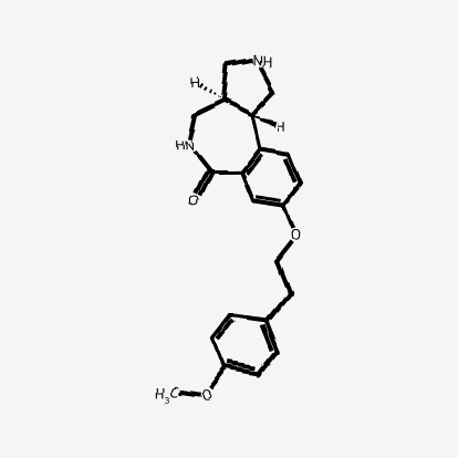 COc1ccc(CCOc2ccc3c(c2)C(=O)NC[C@H]2CNC[C@H]32)cc1